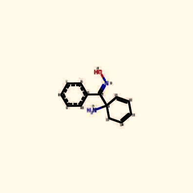 NC1(C(=NO)c2ccccc2)C=CC=CC1